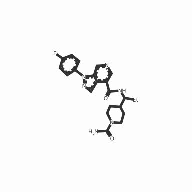 CCC(NC(=O)c1cncc2c1cnn2-c1ccc(F)cc1)C1CCN(C(N)=O)CC1